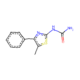 Cc1sc(NC(N)=O)nc1-c1ccccc1